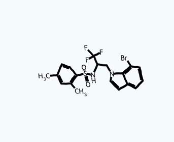 Cc1ccc(S(=O)(=O)NC(Cn2ccc3cccc(Br)c32)C(F)(F)F)c(C)c1